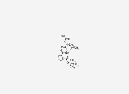 CC(C)C[C@H](NC(=O)[C@@H]1CCCN1C(=O)OC(C)(C)C)C(=O)NCC(=O)O